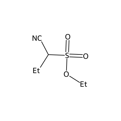 CCOS(=O)(=O)C(C#N)CC